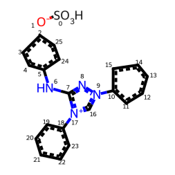 O=S(=O)([O-])O.c1ccc(Nc2nn(-c3ccccc3)c[n+]2-c2ccccc2)cc1